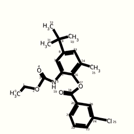 CCOC(=O)Nc1cc(C(C)(C)C)cc(C)c1OC(=O)c1cccc(Cl)c1